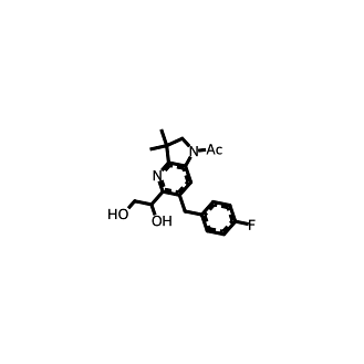 CC(=O)N1CC(C)(C)c2nc(C(O)CO)c(Cc3ccc(F)cc3)cc21